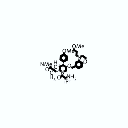 CNC(=O)C(C)(C)C[C@@H]1C[C@H](c2ccc(OC)cc2)[C@@H](OCc2ccc3c(c2)N(CCCOC)CCO3)CN1C(=O)[C@@H](N)C(C)C